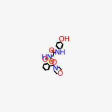 O=C(CNS(=O)(=O)c1ccccc1C(=O)N1CCOCC1)Nc1ccc(O)cc1